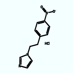 Cl.O=[N+]([O-])c1ccc(CCn2ccnc2)cc1